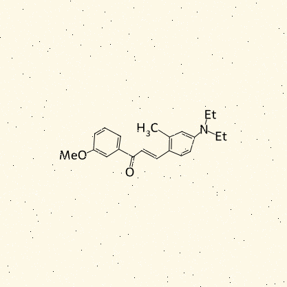 CCN(CC)c1ccc(C=CC(=O)c2cccc(OC)c2)c(C)c1